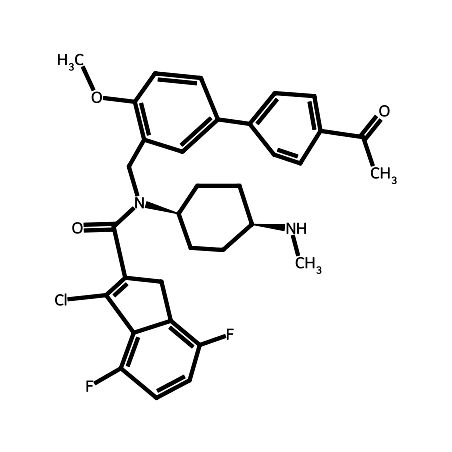 CN[C@H]1CC[C@@H](N(Cc2cc(-c3ccc(C(C)=O)cc3)ccc2OC)C(=O)C2=C(Cl)c3c(F)ccc(F)c3C2)CC1